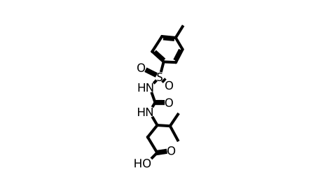 Cc1ccc(S(=O)(=O)NC(=O)NC(CC(=O)O)C(C)C)cc1